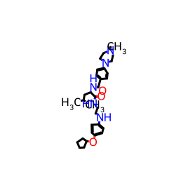 CC(C)CC(NC(=O)c1ccc(N2CCN(C)CC2)cc1)C(=O)NCCNc1ccc(OC2CCCC2)cc1